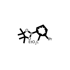 CCOC(=O)c1c(B2OC(C)(C)C(C)(C)O2)cccc1C(C)C